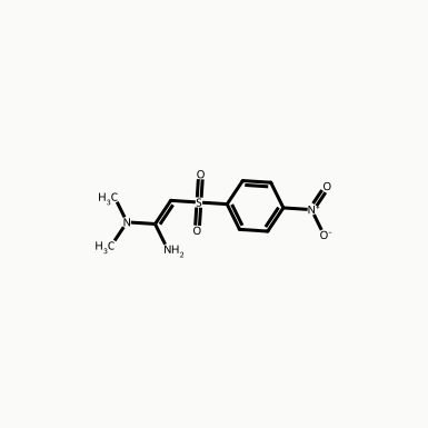 CN(C)/C(N)=C/S(=O)(=O)c1ccc([N+](=O)[O-])cc1